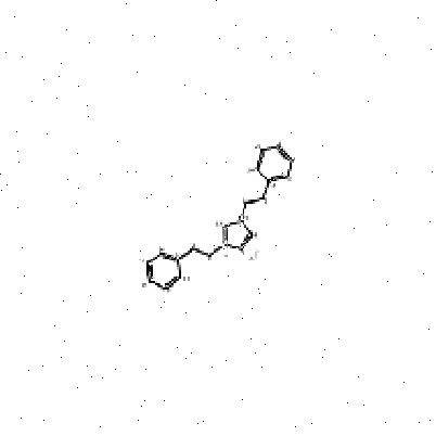 [I-].c1ccc(CCn2cc[n+](CCc3ccccc3)c2)cc1